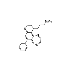 CNCCCC1C=CN=c2cc(-c3ccccc3)c3c(c21)N=CC=NC=3